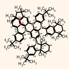 Cc1cc2c(cc1N1c3cc(C(C)(C)C)ccc3B3c4cc5c(cc4N(c4ccc(C(C)(C)C)cc4-c4ccccc4)c4cc(N6c7ccc(C(C)(C)C)cc7C7(C)CCCCC67C)cc1c43)C(C)(C)CC5(C)C)C(C)(C)CCC2(C)C